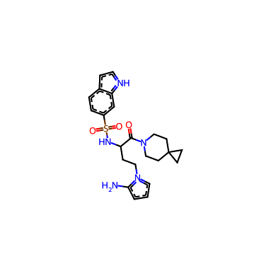 Nc1cccn1CCC(NS(=O)(=O)c1ccc2cc[nH]c2c1)C(=O)N1CCC2(CC1)CC2